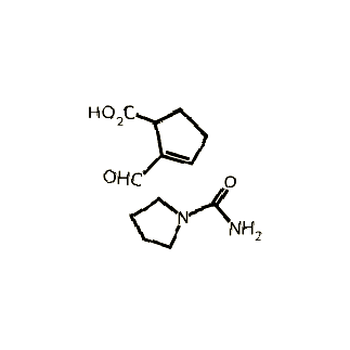 NC(=O)N1CCCC1.O=CC1=CCCC1C(=O)O